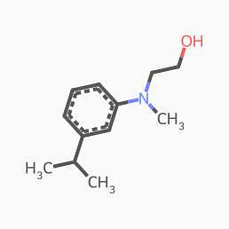 CC(C)c1cccc(N(C)CCO)c1